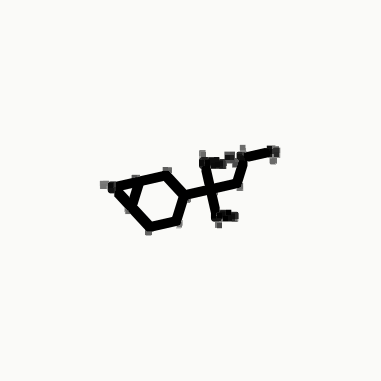 CC[SiH2]CC(OC)(OC)C1CCC2OC2C1